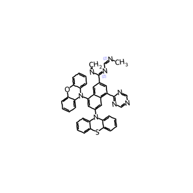 C=N/C(=N\C=N/C)c1cc(-c2ncncn2)c2cc(N3c4ccccc4Sc4ccccc43)cc(N3c4ccccc4Oc4ccccc43)c2c1